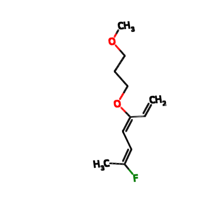 C=C/C(=C\C=C(/C)F)OCCCOC